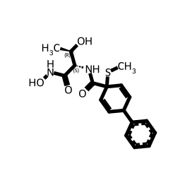 CSC1(C(=O)N[C@H](C(=O)NO)[C@@H](C)O)C=CC(c2ccccc2)C=C1